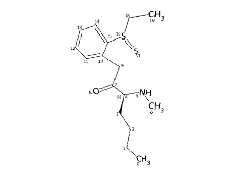 CCCC[C@H](NC)C(=O)Cc1ccccc1S(=S)CC